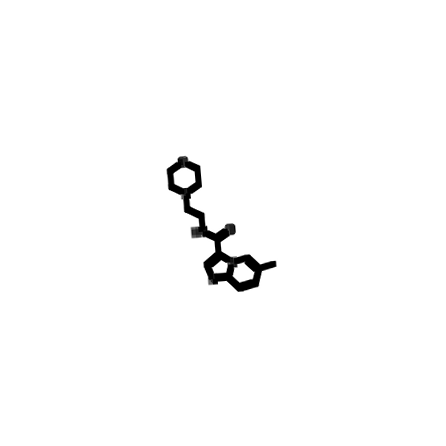 Cc1ccc2ncc(C(=O)NCCN3CCOCC3)n2c1